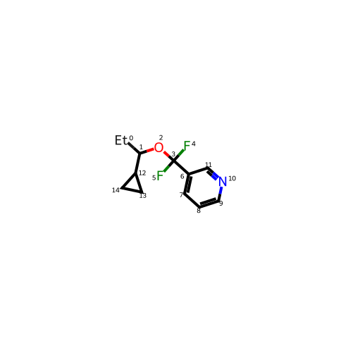 CCC(OC(F)(F)c1cccnc1)C1CC1